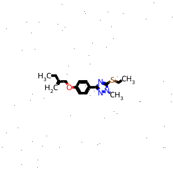 C=C(CC)COc1ccc(-c2nc(SCC)n(C)n2)cc1